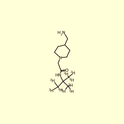 [2H]C([2H])([2H])C(NC(=O)CN1CCC(CN)CC1)(C([2H])([2H])[2H])C([2H])([2H])[2H]